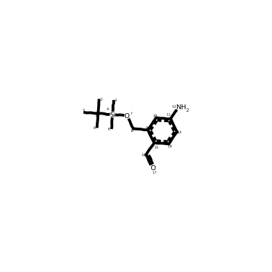 CC(C)(C)[Si](C)(C)OCc1cc(N)ccc1C=O